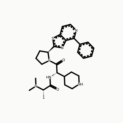 C[C@@H](C(=O)N[C@H](C(=O)N1CCC[C@H]1c1nc2c(-c3ccccc3)nccc2s1)C1CCNCC1)N(C)C